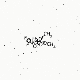 CCCCOc1c(COCC)occ(C(=O)NCc2ccc(F)cc2F)c1=O